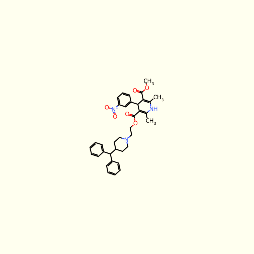 COC(=O)C1=C(C)NC(C)=C(C(=O)OCCN2CCC(C(c3ccccc3)c3ccccc3)CC2)C1c1cccc([N+](=O)[O-])c1